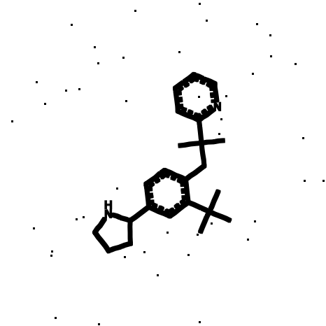 CC(C)(C)c1cc(C2CCCN2)ccc1CC(C)(C)c1ccccn1